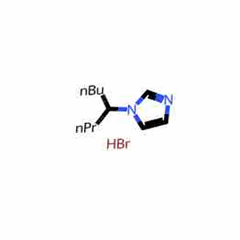 Br.CCCCC(CCC)n1ccnc1